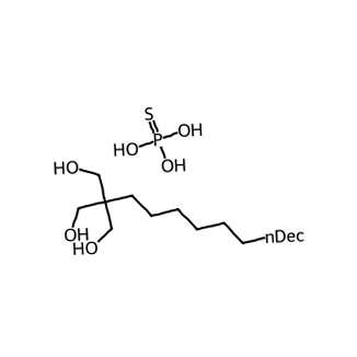 CCCCCCCCCCCCCCCCC(CO)(CO)CO.OP(O)(O)=S